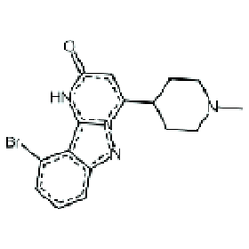 CN1CCC(c2cc(=O)[nH]c3c4c(Br)cccc4nn23)CC1